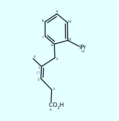 C/C(=C/CC(=O)O)Cc1ccccc1C(C)C